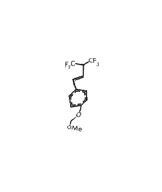 COCOc1ccc(C=CC(C(F)(F)F)C(F)(F)F)cc1